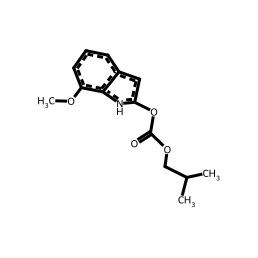 COc1cccc2cc(OC(=O)OCC(C)C)[nH]c12